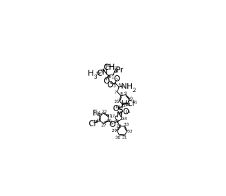 CC(C)C(OC(=O)[C@@H](N)Cc1cccc(S(=O)(=O)N2CC(Oc3ccc(F)c(Cl)c3)(c3ccccc3)C2)c1)C(=O)N(C)C.Cl